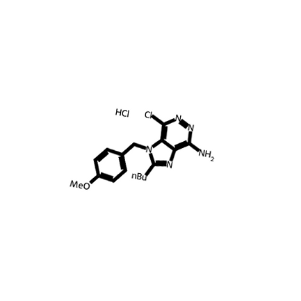 CCCCc1nc2c(N)nnc(Cl)c2n1Cc1ccc(OC)cc1.Cl